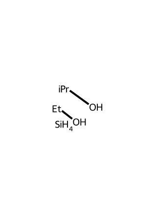 CC(C)O.CCO.[SiH4]